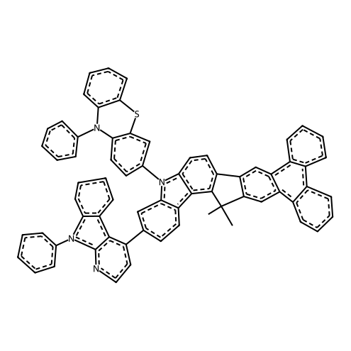 CC1(C)c2cc3c4ccccc4c4ccccc4c3cc2-c2ccc3c(c21)c1ccc(-c2ccnc4c2c2ccccc2n4-c2ccccc2)cc1n3-c1ccc2c(c1)Sc1ccccc1N2c1ccccc1